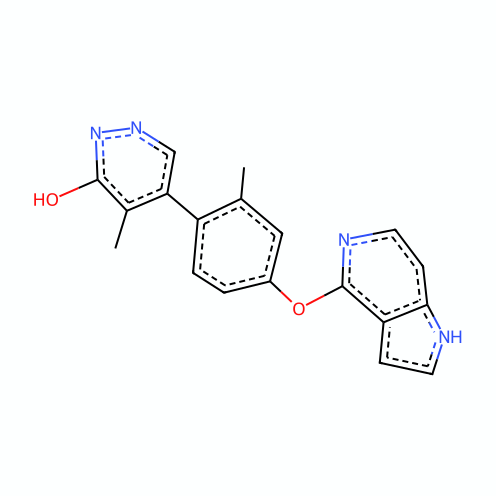 Cc1cc(Oc2nccc3[nH]ccc23)ccc1-c1cnnc(O)c1C